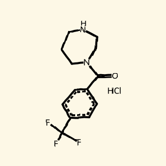 Cl.O=C(c1ccc(C(F)(F)F)cc1)N1CCCNCC1